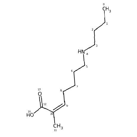 CCCCNCCCCC=C(C)C(=O)O